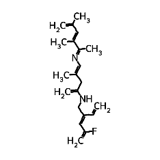 C=C/C(=C\C(=C)F)CNC(=C)C/C(C)=C/N=C(C)/C(C)=C/C(=C)C